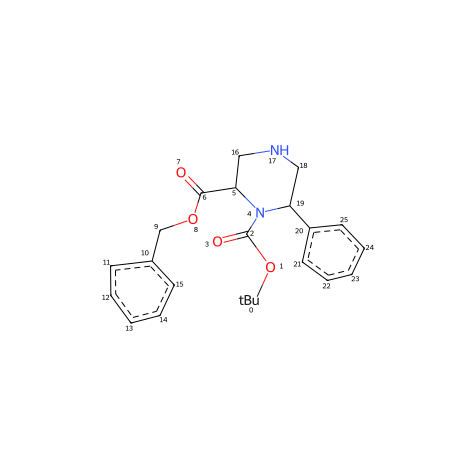 CC(C)(C)OC(=O)N1C(C(=O)OCc2ccccc2)CNCC1c1ccccc1